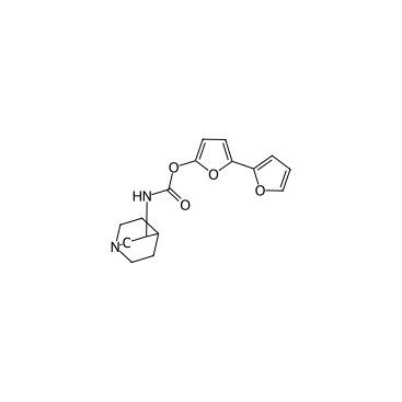 O=C(NC1CN2CCC1CC2)Oc1ccc(-c2ccco2)o1